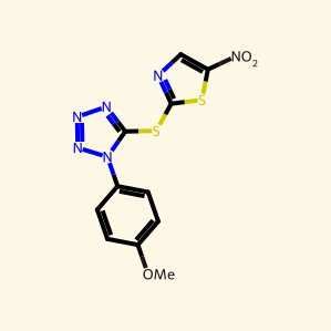 COc1ccc(-n2nnnc2Sc2ncc([N+](=O)[O-])s2)cc1